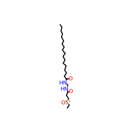 CCCCCCCCCCCCCCCCCC(=O)NCNC(=O)CC[S+]([O-])CC